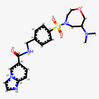 CN(C)C1COCCN(S(=O)(=O)c2ccc(CNC(=O)c3ccc4nccn4c3)cc2)C1